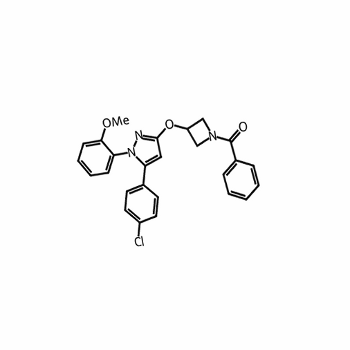 COc1ccccc1-n1nc(OC2CN(C(=O)c3ccccc3)C2)cc1-c1ccc(Cl)cc1